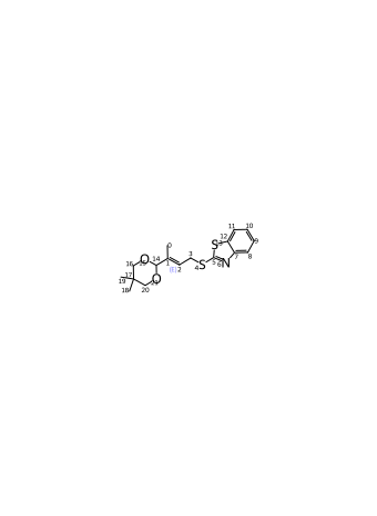 C/C(=C\CSc1nc2ccccc2s1)C1OCC(C)(C)CO1